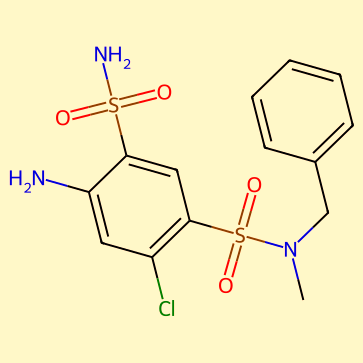 CN(Cc1ccccc1)S(=O)(=O)c1cc(S(N)(=O)=O)c(N)cc1Cl